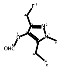 Cn1nc(CF)c(OC=O)c1CF